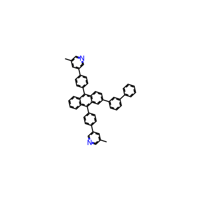 Cc1cncc(-c2ccc(-c3c4ccccc4c(-c4ccc(-c5cncc(C)c5)cc4)c4cc(-c5cccc(-c6ccccc6)c5)ccc34)cc2)c1